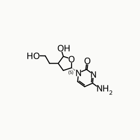 Nc1ccn([C@@H]2CC(CCO)C(O)O2)c(=O)n1